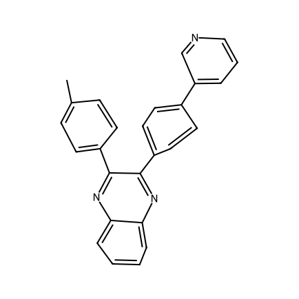 Cc1ccc(-c2nc3ccccc3nc2-c2ccc(-c3cccnc3)cc2)cc1